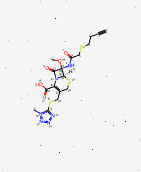 C#CCCSCC(=O)N[C@]1(OC)C(=O)N2C(C(=O)O)=C(CSc3nnnn3C)CS[C@@H]21